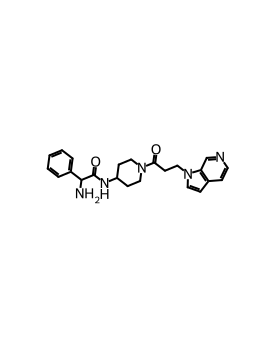 NC(C(=O)NC1CCN(C(=O)CCn2ccc3ccncc32)CC1)c1ccccc1